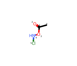 CC(=O)ONCl